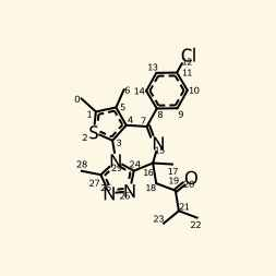 Cc1sc2c(c1C)C(c1ccc(Cl)cc1)=NC(C)(CC(=O)C(C)C)c1nnc(C)n1-2